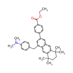 CCOC(=O)c1ccc(-c2cc(Cc3ccc(N(C)C)cc3)c3cc4c(cc3c2)C(C)(C)CCC4(C)C)cc1